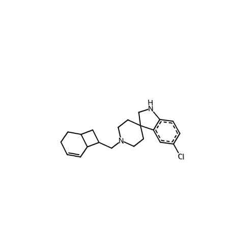 Clc1ccc2c(c1)C1(CCN(CC3CC4CCC=CC43)CC1)CN2